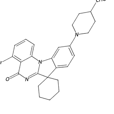 O=CC1CCN(c2ccc3c(c2)-n2c(nc(=O)c4c(Br)cccc42)C32CCCCC2)CC1